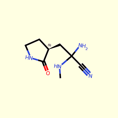 CNC(N)(C#N)C[C@@H]1CCNC1=O